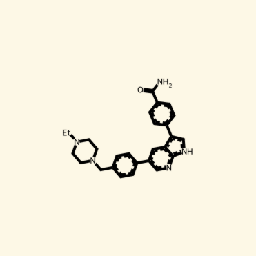 CCN1CCN(Cc2ccc(-c3cnc4[nH]cc(-c5ccc(C(N)=O)cc5)c4c3)cc2)CC1